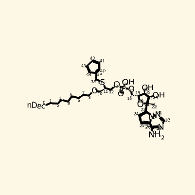 CCCCCCCCCCCCCCCCCCOC[C@H](COP(=O)(O)OC[C@H]1O[C@@](C)(c2ccc3c(N)ncnn23)[C@H](O)[C@@H]1O)SCc1ccccc1